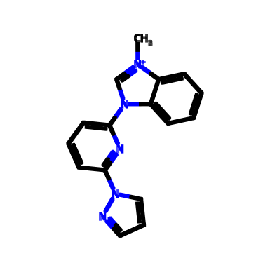 C[n+]1cn(-c2cccc(-n3cccn3)n2)c2ccccc21